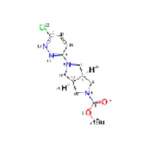 CC(C)(C)OC(=O)N1C[C@@H]2CN(c3ccc(Cl)nn3)C[C@@H]2C1